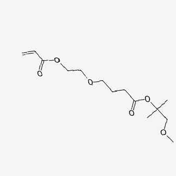 C=CC(=O)OCCOCCCC(=O)OC(C)(C)COC